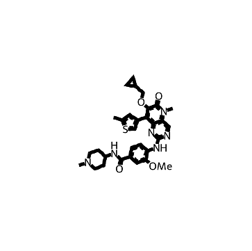 COc1cc(C(=O)NC2CCN(C)CC2)ccc1Nc1ncc2c(n1)c(-c1csc(C)c1)c(OCC1CC1)c(=O)n2C